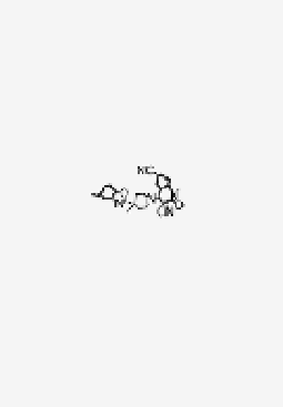 Cc1ccc2oc(C3(C)CCN(c4c(C#N)c(=O)n(C)c5ccc(C#N)cc45)CC3)nc2c1